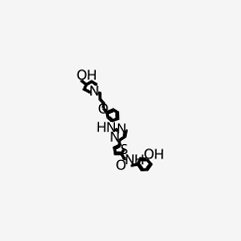 O=C(NCc1cccc(O)c1)c1ccc(-c2ccnc(Nc3cccc(OCCCN4CCC(CO)CC4)c3)n2)s1